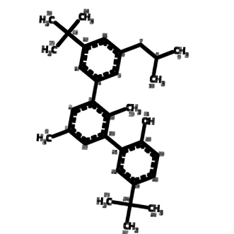 Cc1cc(-c2cc(CC(C)C)cc(C(C)(C)C)c2)c(C)c(-c2cc(C(C)(C)C)ccc2O)c1